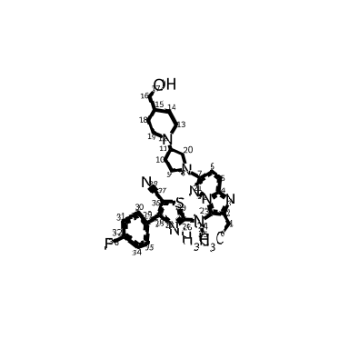 CCc1nc2ccc(N3CCC(N4CCC(CO)CC4)C3)nn2c1N(C)c1nc(-c2ccc(F)cc2)c(C#N)s1